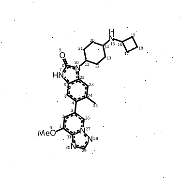 COc1cc(-c2cc3[nH]c(=O)n(C4CCC(NC5CCC5)CC4)c3cc2C)cn2ncnc12